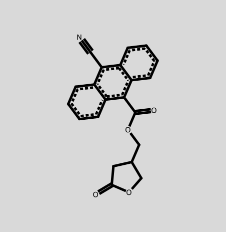 N#Cc1c2ccccc2c(C(=O)OCC2COC(=O)C2)c2ccccc12